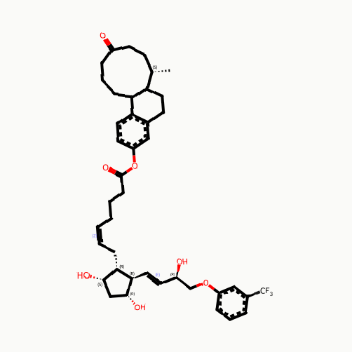 C[C@H]1CCC(=O)CCCC2c3ccc(OC(=O)CCC/C=C\C[C@@H]4[C@@H](/C=C/[C@@H](O)COc5cccc(C(F)(F)F)c5)[C@H](O)C[C@@H]4O)cc3CCC21